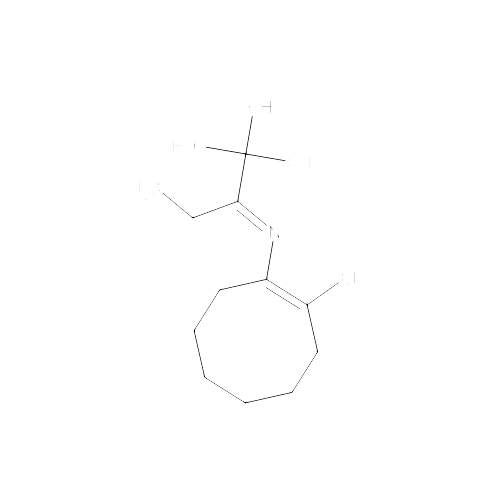 BC/C(=N\C1=C(/C)CCCCCC1)C(C)(C)C